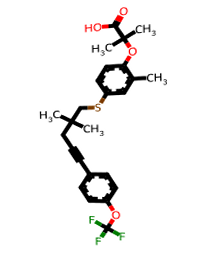 Cc1cc(SCC(C)(C)CC#Cc2ccc(OC(F)(F)F)cc2)ccc1OC(C)(C)C(=O)O